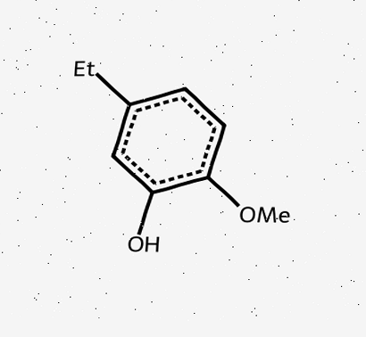 [CH2]Cc1ccc(OC)c(O)c1